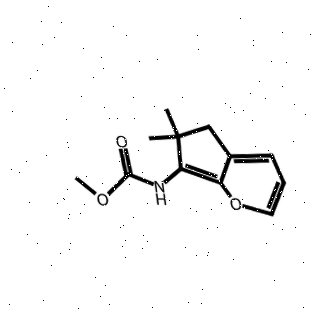 COC(=O)NC1=C2OC=CC=C2CC1(C)C